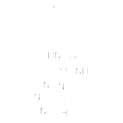 Cc1ncnc2ncn(CC(=N)OC(=O)NCCc3ccc(Cl)cc3)c(=O)c12